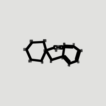 O=CC1(Cc2ccccc2)CCCCC1